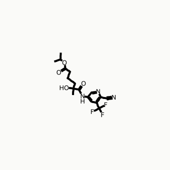 CC(C)OC(=O)CCCC(C)(O)C(=O)Nc1cnc(C#N)c(C(F)(F)F)c1